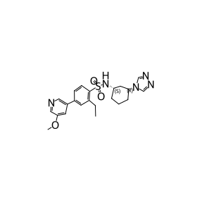 CCc1cc(-c2cncc(OC)c2)ccc1S(=O)(=O)N[C@H]1CCC[C@@H](n2cnnc2)C1